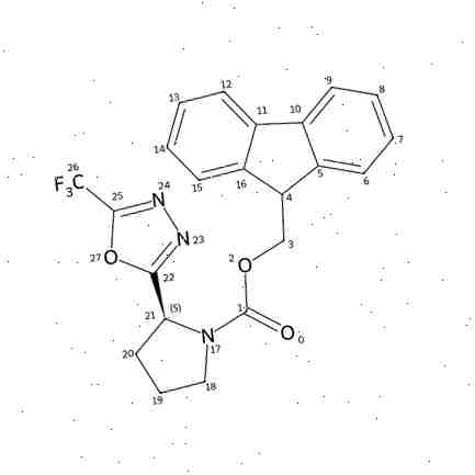 O=C(OCC1c2ccccc2-c2ccccc21)N1CCC[C@H]1c1nnc(C(F)(F)F)o1